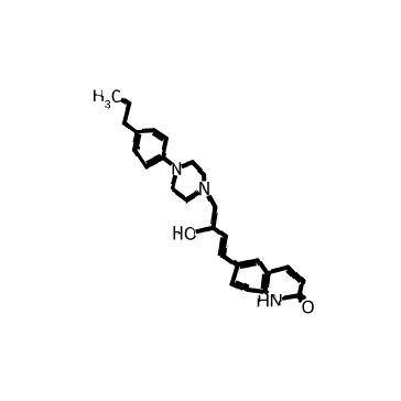 CCCc1ccc(N2CCN(CC(O)C=Cc3ccc4[nH]c(=O)ccc4c3)CC2)cc1